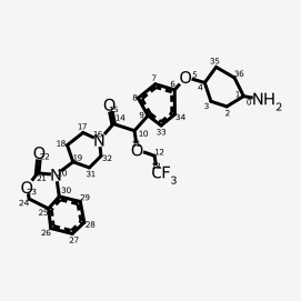 NC1CCC(Oc2ccc(C(OCC(F)(F)F)C(=O)N3CCC(N4C(=O)OCc5ccccc54)CC3)cc2)CC1